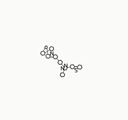 c1ccc(-c2cc(-c3ccc4c(c3)sc3ccccc34)nc(-c3ccc(-c4ccc5c(c4)c4cccc6c4n5-c4ccccc4C64c5ccccc5-c5ccccc54)cc3)n2)cc1